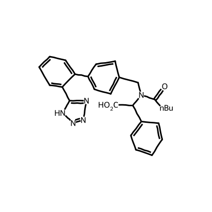 CCCCC(=O)N(Cc1ccc(-c2ccccc2-c2nnn[nH]2)cc1)C(C(=O)O)c1ccccc1